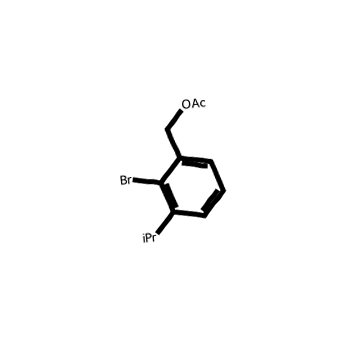 CC(=O)OCc1cccc(C(C)C)c1Br